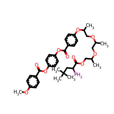 COc1ccc(C(=O)Oc2ccc(OC(=O)c3ccc(OC(C)COC(C)COC(C)COC(=O)C(P)CC(C)(C)C)cc3)cc2)cc1